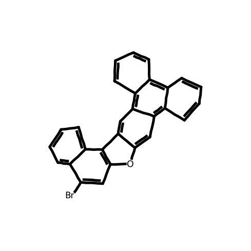 Brc1cc2oc3cc4c5ccccc5c5ccccc5c4cc3c2c2ccccc12